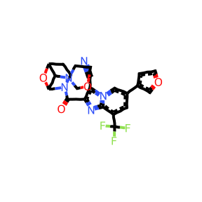 N#Cc1c(C(=O)N2CCC3OC2C3N2CCOC2)nc2c(C(F)(F)F)cc(-c3ccoc3)cn12